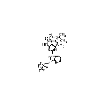 CC(C)NC(=O)C1(C)C(=O)Nc2nc(-c3nn(CCC(F)(F)C(F)(F)F)c4ncccc34)nc(N)c21